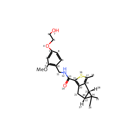 COc1cc(OCCO)ccc1CNC(=O)c1sc(C)c2c1C[C@@H]1[C@H]2C1(C)C